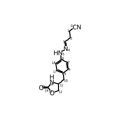 N#CCCC=NNc1ccc(CC2COC(=O)N2)cc1